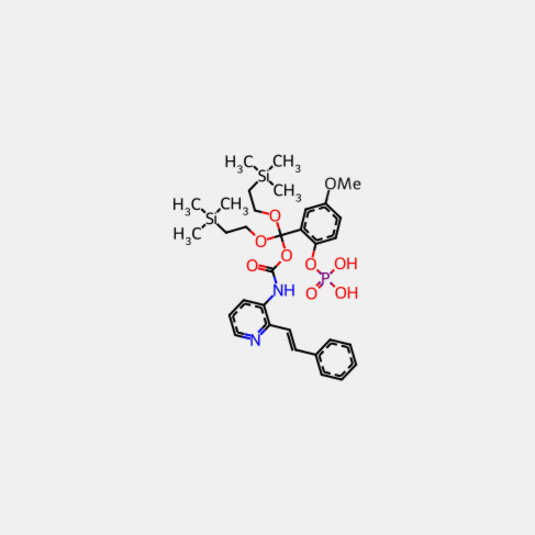 COc1ccc(OP(=O)(O)O)c(C(OCC[Si](C)(C)C)(OCC[Si](C)(C)C)OC(=O)Nc2cccnc2C=Cc2ccccc2)c1